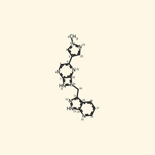 Cn1cc(-c2cnc3[nH]n(Cc4n[nH]c5ncccc45)c3n2)cn1